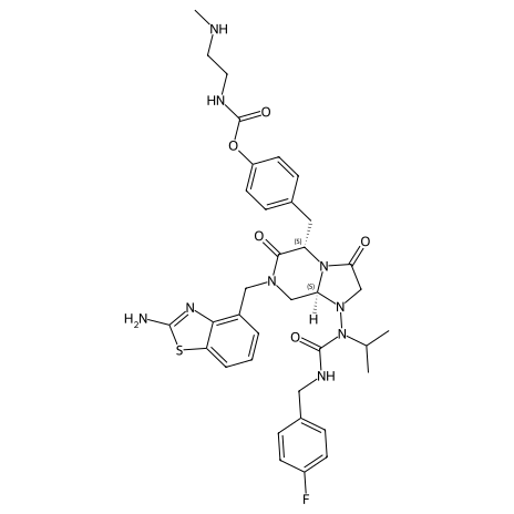 CNCCNC(=O)Oc1ccc(C[C@H]2C(=O)N(Cc3cccc4sc(N)nc34)C[C@H]3N2C(=O)CN3N(C(=O)NCc2ccc(F)cc2)C(C)C)cc1